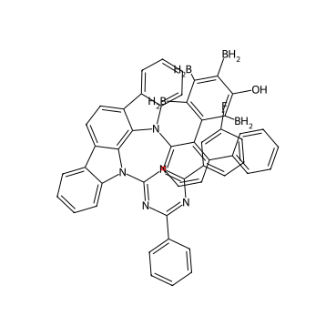 Bc1c(B)c(O)c(B)c(-c2c(-c3ccccc3)cccc2-n2c3ccccc3c3ccc4c5ccccc5n(-c5nc(-c6ccccc6)nc(-c6cccc(F)c6)n5)c4c32)c1B